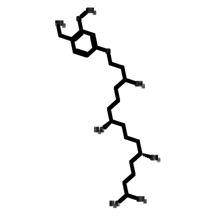 COc1cc(OCCC(C)CCC[C@H](C)CCC[C@H](C)CCCC(C)C)ccc1CN